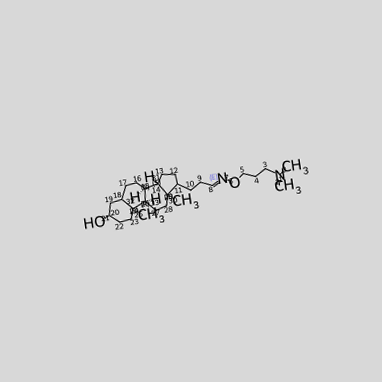 CN(C)CCCO/N=C/CCC1CC[C@H]2[C@@H]3CCC4CC(O)CC[C@]4(C)[C@@H]3CC[C@]12C